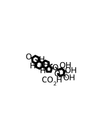 C[C@]12CCC(=O)C[C@@H]1CC[C@@H]1[C@@H]2CC[C@]2(C)[C@@H](O[C@@H]3O[C@H](C(=O)O)[C@@H](O)[C@H](O)[C@H]3O)CC[C@@H]12